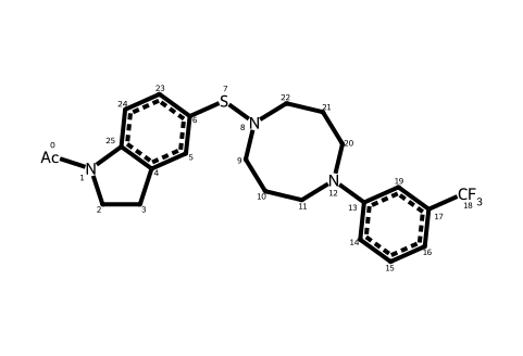 CC(=O)N1CCc2cc(SN3CCCN(c4cccc(C(F)(F)F)c4)CCC3)ccc21